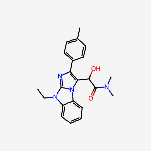 CCn1c2ccccc2n2c(C(O)C(=O)N(C)C)c(-c3ccc(C)cc3)nc12